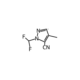 Cc1[c]nn(C(F)F)c1C#N